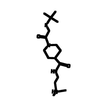 C[SH](C)CCNC(=O)C1CCN(C(=O)CSC(C)(C)C)CC1